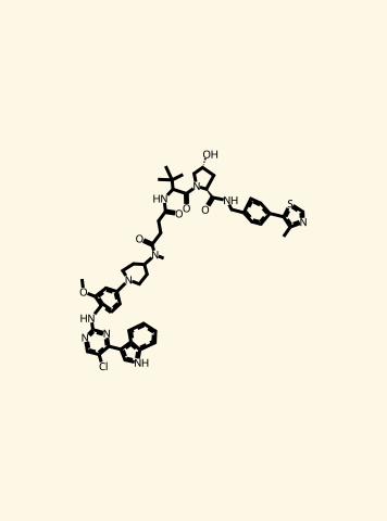 COc1cc(N2CCC(N(C)C(=O)CCC(=O)NC(C(=O)N3C[C@H](O)C[C@H]3C(=O)NCc3ccc(-c4scnc4C)cc3)C(C)(C)C)CC2)ccc1Nc1ncc(Cl)c(-c2c[nH]c3ccccc23)n1